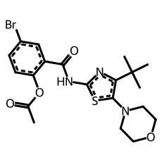 CC(=O)Oc1ccc(Br)cc1C(=O)Nc1nc(C(C)(C)C)c(N2CCOCC2)s1